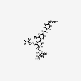 C=C(C)C(=O)OCCc1cc(-c2ccc(CCc3ccc(CCCCC)cc3)cc2CC)ccc1OCCC(CC)(CO)CO